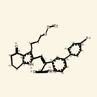 CCOOCCCc1c(/C=C2\C(=O)Nc3ccc(-c4ccc(F)cc4)cc32)[nH]c2c1C(=O)CCC2